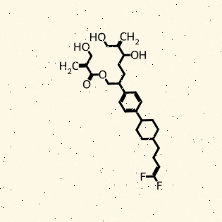 C=C(CO)C(=O)OCC(CCC(O)C(=C)CO)c1ccc(C2CCC(CCC=C(F)F)CC2)cc1